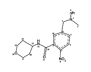 CCCN(C)Cc1ccc([N+](=O)[O-])c(C(=O)NC2CCOCC2)c1